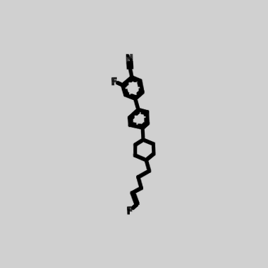 N#Cc1ccc(-c2ccc(C3CCC(CCCC=CF)CC3)cc2)cc1F